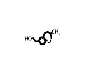 C=C1CCc2cc(CCO)ccc2OC1